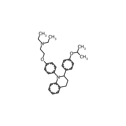 CCN(CC)CCOc1ccc(N2c3ccccc3CCC2c2ccc(OC(C)C)cc2)cc1